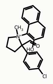 C[N+]1(c2c(O)ccc3ccccc23)CCCC1(C=O)c1ccc(Cl)cc1